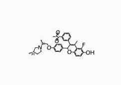 CC1=C(c2cccc(S(C)(=O)=O)c2)C(c2ccc(OC[C@H](C)N3CC[C@@H](C)C3)cc2)Oc2ccc(O)c(F)c21